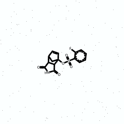 O=C1NC(=O)C2C1C1C=CC2(OS(=O)(=O)c2ccccc2F)C1